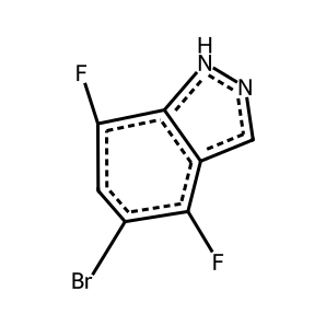 Fc1c(Br)cc(F)c2[nH]ncc12